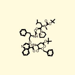 CC(C)CC(C(=O)N1CCCC[C@@H]1C(=O)NC(COc1cnc2ccccc2c1C(=O)NC(CC(=O)OC(C)(C)C)C(=O)OCc1ccccc1)Cc1ccccc1)N(C)C(=O)OC(C)(C)C